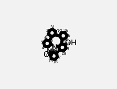 O=[N+]([O-])c1cccc2c1[nH]c1c(-c3ccccc3)cccc1c1c(O)cccc1c1ccccc21